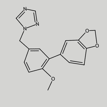 COc1ccc(Cn2cncn2)cc1-c1ccc2c(c1)OCO2